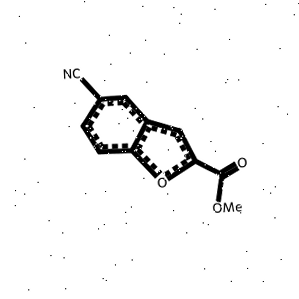 COC(=O)c1cc2cc(C#N)ccc2o1